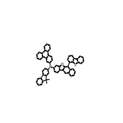 CC1(C)c2ccccc2-c2ccc(N(c3ccc4c(c3)oc3c(-c5cccc6c5sc5ccccc56)c5ccccc5cc34)c3ccc4c5ccccc5c5ccccc5c4c3)cc21